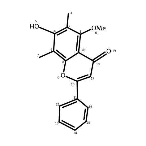 COc1c(C)c(O)c(C)c2oc(-c3ccccc3)cc(=O)c12